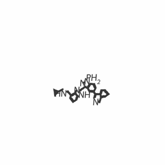 Pn1nc(-c2nc3c(CNCC4CC4)cccc3[nH]2)c2cc(-c3cncc4ccccc34)ccc21